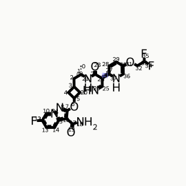 C[C@@H](CC1CC(Oc2nn3cc(F)ccc3c2C(N)=O)C1)NC(=O)/C(C=N)=C1\C=CC(OCC(F)F)=CN1